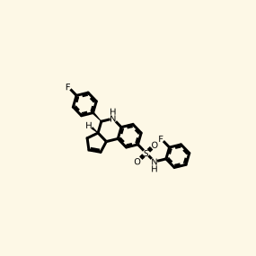 O=S(=O)(Nc1ccccc1F)c1ccc2c(c1)C1C=CC[C@@H]1[C@@H](c1ccc(F)cc1)N2